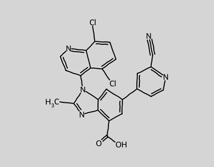 Cc1nc2c(C(=O)O)cc(-c3ccnc(C#N)c3)cc2n1-c1ccnc2c(Cl)ccc(Cl)c12